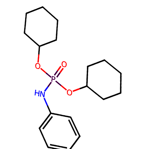 O=P(Nc1ccccc1)(OC1CCCCC1)OC1CCCCC1